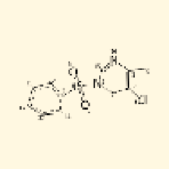 CC1=C(Cl)[CH]N(S(=O)(=O)c2ccccc2)C=N1